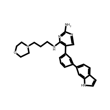 Nc1ncc(-c2cccc(-c3ccc4cc[nH]c4c3)c2)c(NCCCN2CCOCC2)n1